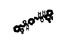 COc1ccccc1CCC(=O)NC1CCN(CCNC(=O)Nc2cc(C)nc3ccccc23)CC1